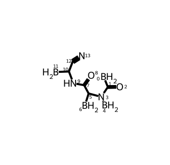 BC(=O)N(B)C(B)C(=O)NC(B)C#N